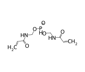 C=CC(=O)NCO[PH](=O)OCNC(=O)C=C